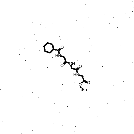 CC(C)(C)OC(=O)CNC(=O)CNC(=O)CNC(=O)C1CCCCC1